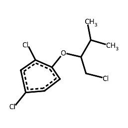 CC(C)C(CCl)Oc1ccc(Cl)cc1Cl